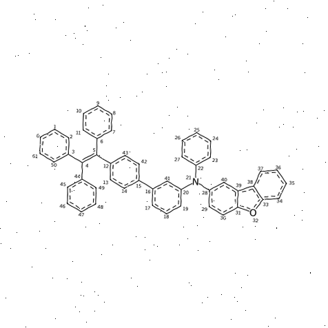 c1ccc(C(=C(c2ccccc2)c2ccc(-c3cccc(N(c4ccccc4)c4ccc5oc6ccccc6c5c4)c3)cc2)c2ccccc2)cc1